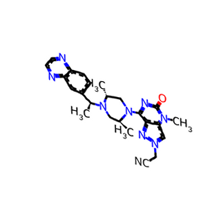 C[C@@H]1CN(c2nc(=O)n(C)c3cn(CC#N)nc23)[C@@H](C)CN1[C@@H](C)c1ccc2nccnc2c1